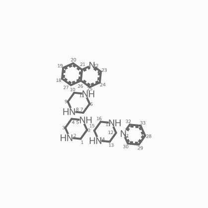 C1CNCCN1.C1CNCCN1.C1CNCCN1.c1ccc2ncccc2c1.c1ccncc1